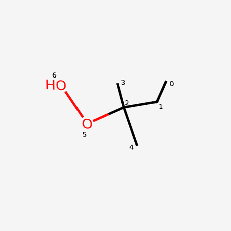 CCC(C)(C)OO